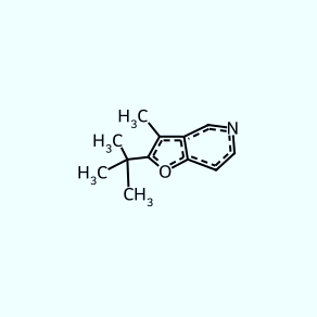 Cc1c(C(C)(C)C)oc2ccncc12